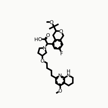 COc1cc(CCCCOC2CCN(C(C(=O)O)c3cc(F)cc4c3CC(C(C)(C)OC)OC4)C2)nc2c1CCCN2